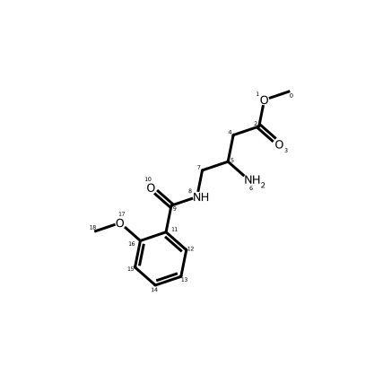 COC(=O)CC(N)CNC(=O)c1ccccc1OC